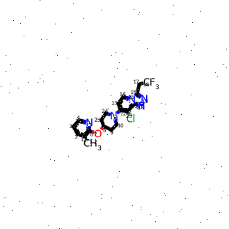 Cc1cccnc1OC1CCN(c2ccn3c(CC(F)(F)F)nnc3c2Cl)CC1